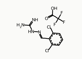 N=C(N)N/N=C/c1c(Cl)cccc1Cl.O=C(O)C(F)(F)F